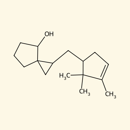 CC1=CCC(CC2CC23CCCC3O)C1(C)C